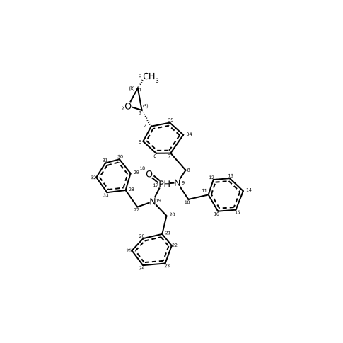 C[C@H]1O[C@H]1c1ccc(CN(Cc2ccccc2)[PH](=O)N(Cc2ccccc2)Cc2ccccc2)cc1